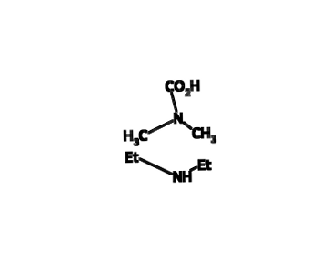 CCNCC.CN(C)C(=O)O